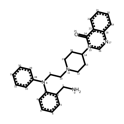 NCc1ccccc1N(CCN1CCC(n2cnc3ccccc3c2=O)CC1)c1ccccc1